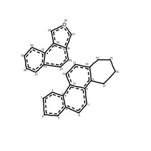 c1ccc2c(c1)ccc1c3c(ccc12)CCCC3.c1ccc2c(c1)ccc1cocc12